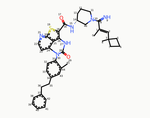 C/C(=C\C1(C)CCC1)C(=N)N1CCC[C@@H](NC(=O)c2sc3nccc4c3c2NC(=O)N4c2ccc(CCc3ccccc3)cc2C)C1